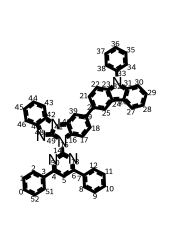 c1ccc(-c2cc(-c3ccccc3)nc(-n3c4ccc(-c5ccc6c(c5)c5ccccc5n6-c5ccccc5)cc4n4c5ccccc5nc34)n2)cc1